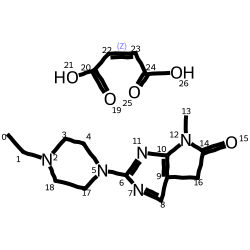 CCN1CCN(c2ncc3c(n2)N(C)C(=O)C3)CC1.O=C(O)/C=C\C(=O)O